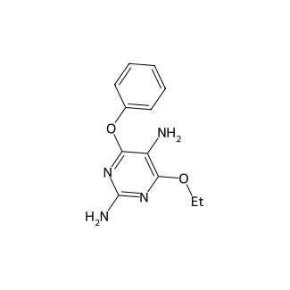 CCOc1nc(N)nc(Oc2ccccc2)c1N